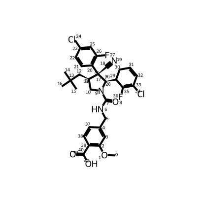 COc1cc(CNC(=O)N2C[C@@H](CC(C)(C)C)[C@](C#N)(c3ccc(Cl)cc3F)[C@H]2C2CC=CC(Cl)=C2F)ccc1C(=O)O